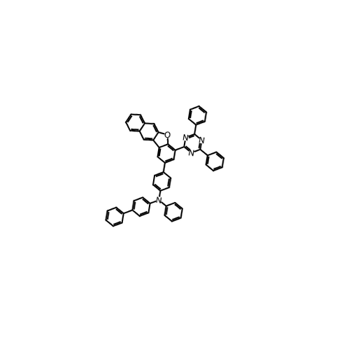 c1ccc(-c2ccc(N(c3ccccc3)c3ccc(-c4cc(-c5nc(-c6ccccc6)nc(-c6ccccc6)n5)c5oc6cc7ccccc7cc6c5c4)cc3)cc2)cc1